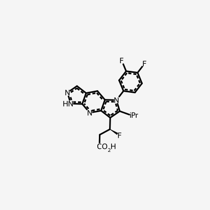 CC(C)c1c([C@@H](F)CC(=O)O)c2nc3[nH]ncc3cc2n1-c1ccc(F)c(F)c1